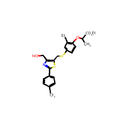 CCOC(=O)C(C)Oc1ccc(SCc2sc(-c3ccc(C(F)(F)F)cc3)nc2CO)cc1CC